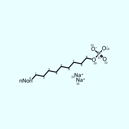 CCCCCCCCCCCCCCCCCCOP(=O)([O-])[O-].[Na+].[Na+]